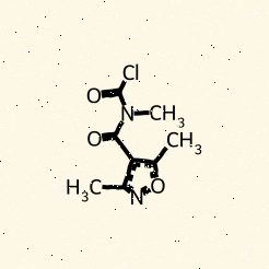 Cc1noc(C)c1C(=O)N(C)C(=O)Cl